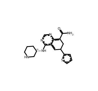 NC(=O)C1=c2ncnc(N[C@H]3CCCNC3)c2=CC(c2cccs2)C1